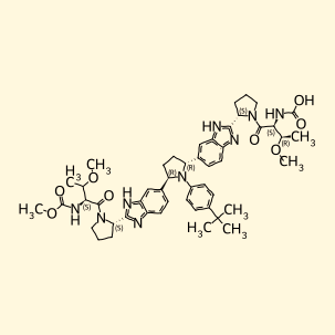 COC(=O)N[C@H](C(=O)N1CCC[C@H]1c1nc2ccc([C@H]3CC[C@H](c4ccc5nc([C@@H]6CCCN6C(=O)[C@@H](NC(=O)O)[C@@H](C)OC)[nH]c5c4)N3c3ccc(C(C)(C)C)cc3)cc2[nH]1)C(C)OC